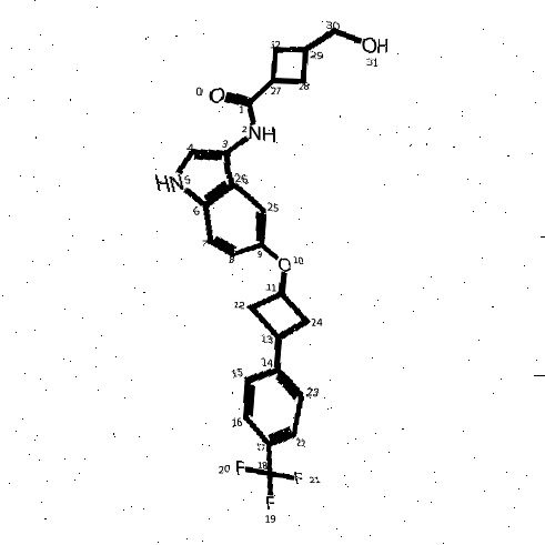 O=C(Nc1c[nH]c2ccc(OC3CC(c4ccc(C(F)(F)F)cc4)C3)cc12)C1CC(CO)C1